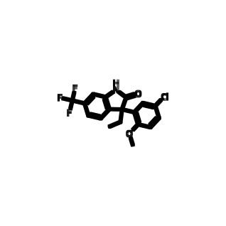 CCC1(c2cc(Cl)ccc2OC)C(=O)Nc2cc(C(F)(F)F)ccc21